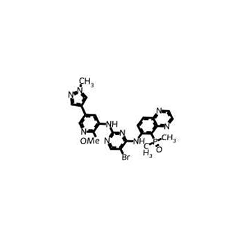 COc1ncc(-c2cnn(C)c2)cc1Nc1ncc(Br)c(Nc2ccc3nccnc3c2P(C)(C)=O)n1